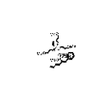 C=CCCC(Cc1ccccc1)[Si](OC)(OC)OC.C=C[Si](OCCOC)(OCCOC)OCCOC